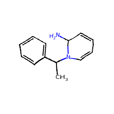 CC(c1ccccc1)N1C=CC=CC1N